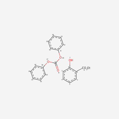 CCOC(=O)c1ccccc1O.O=C(Oc1ccccc1)Oc1ccccc1